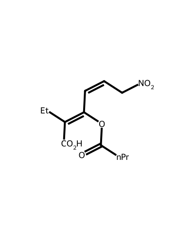 CCCC(=O)OC(/C=C\C[N+](=O)[O-])=C(/CC)C(=O)O